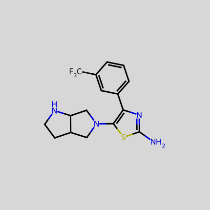 Nc1nc(-c2cccc(C(F)(F)F)c2)c(N2CC3CCNC3C2)s1